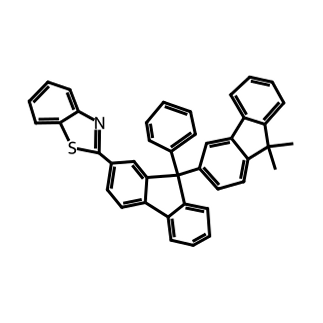 CC1(C)c2ccccc2-c2cc(C3(c4ccccc4)c4ccccc4-c4ccc(-c5nc6ccccc6s5)cc43)ccc21